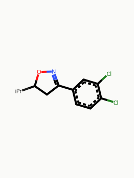 CC(C)C1CC(c2ccc(Cl)c(Cl)c2)=NO1